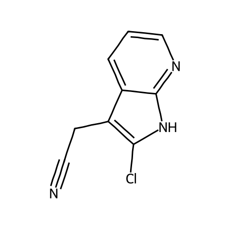 N#CCc1c(Cl)[nH]c2ncccc12